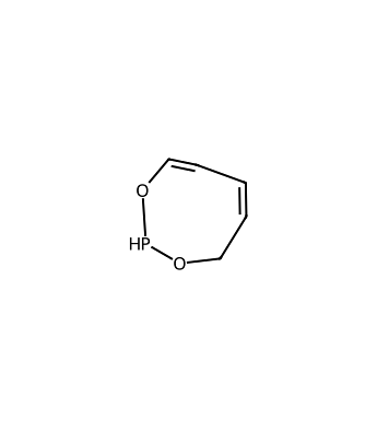 C1=C\COPO\C=C/1